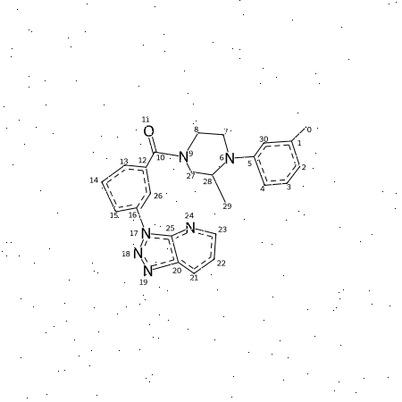 Cc1cccc(N2CCN(C(=O)c3cccc(-n4nnc5cccnc54)c3)CC2C)c1